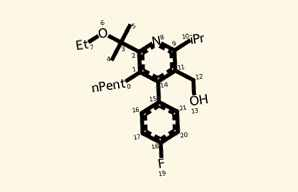 CCCCCc1c(C(C)(C)OCC)nc(C(C)C)c(CO)c1-c1ccc(F)cc1